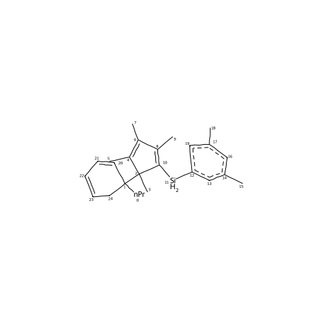 CCCC1(C2(C)C(C)=C(C)C(C)=C2[SiH2]c2cc(C)cc(C)c2)C=CC=CC1